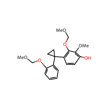 COCOc1ccccc1C1(c2ccc(O)c(OC)c2OCOC)CC1